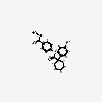 O=C(NO)c1ccc(OC(=O)C2(c3ccc(F)cc3)CCCCC2)cc1